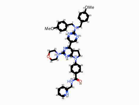 COc1ccc(CN(Cc2ccc(OC)cc2)c2ncc(-c3nc(N4CCOCC4)nc4c3CCN4c3ccc(C(=O)NCc4ccccn4)cc3)cn2)cc1